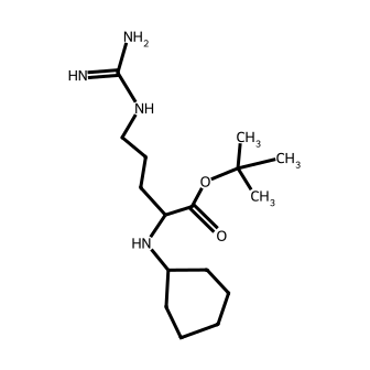 CC(C)(C)OC(=O)C(CCCNC(=N)N)NC1CCCCC1